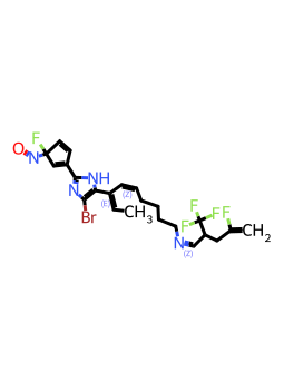 C=C(F)CC(/C=N\CCCC/C=C\C(=C/C)c1[nH]c(C2=CC(F)(N=O)C=C2)nc1Br)C(F)(F)F